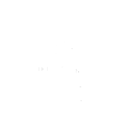 Cl.c1ccc(CNCCC2(c3ccccc3)COCc3ccccc32)cc1